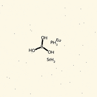 OB(O)O.P.[Eu].[SrH2]